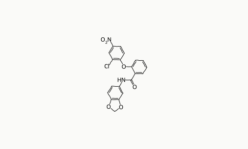 O=C(Nc1ccc2c(c1)OCO2)c1ccccc1Oc1ccc([N+](=O)[O-])cc1Cl